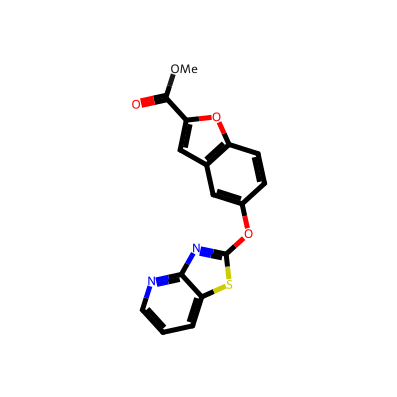 COC(=O)c1cc2cc(Oc3nc4ncccc4s3)ccc2o1